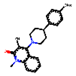 COc1ccc(C2CCN(c3c(C#N)c(=O)n(C)c4ccccc34)CC2)cc1